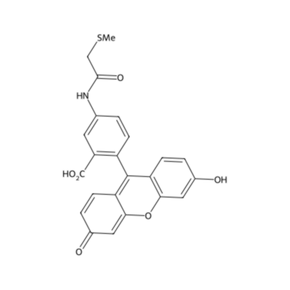 CSCC(=O)Nc1ccc(-c2c3ccc(=O)cc-3oc3cc(O)ccc23)c(C(=O)O)c1